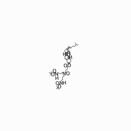 CC(C)CCC[C@@H](C)[C@H]1CC[C@H]2[C@@H]3CC=C4C[C@@H](OC(=O)CCC(=O)N(CCCCNC(=O)OC(C)(C)C)CCCNC(=O)OC(C)(C)C)CC[C@]4(C)[C@H]3CC[C@]12C